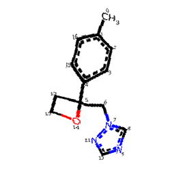 Cc1ccc(C2(Cn3cncn3)CCO2)cc1